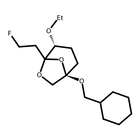 CCO[C@@H]1CC[C@]2(OCC3CCCCC3)COC1(CCF)O2